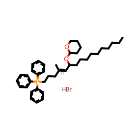 Br.CCCCCCCCCCC(/C=C(\C)CCC[PH](c1ccccc1)(c1ccccc1)c1ccccc1)OC1CCCCO1